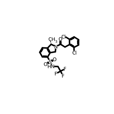 C[C@H]1c2cccc(S(=O)(=O)NCC(F)(F)F)c2CN1C(=O)Cc1c(Cl)cccc1Cl